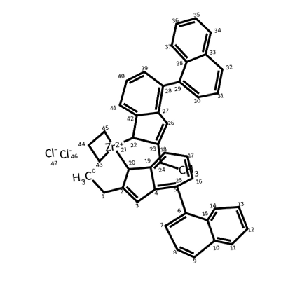 CCC1=Cc2c(-c3cccc4ccccc34)cccc2[CH]1[Zr+2]1([CH]2C(CC)=Cc3c(-c4cccc5ccccc45)cccc32)[CH2]C[CH2]1.[Cl-].[Cl-]